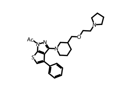 CC(=O)n1nc(N2CCCC(COCCN3CCCC3)C2)c2c(-c3ccccc3)csc21